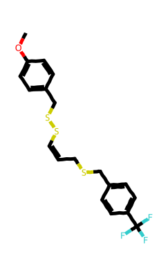 COc1ccc(CSS/C=C\CSCc2ccc(C(F)(F)F)cc2)cc1